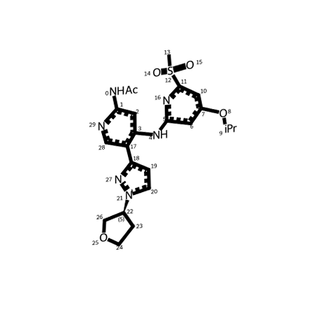 CC(=O)Nc1cc(Nc2cc(OC(C)C)cc(S(C)(=O)=O)n2)c(-c2ccn([C@H]3CCOC3)n2)cn1